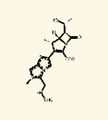 C[C@@H](O)[C@H]1C(=O)N2C(C(=O)[O-])=C(c3c[n+]4c(CNC=O)n(C)cc4s3)[C@H](C)[C@H]12